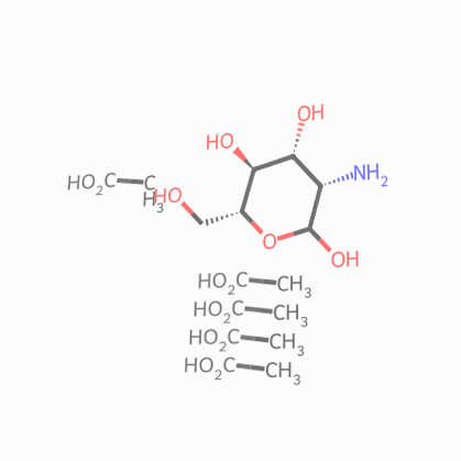 CC(=O)O.CC(=O)O.CC(=O)O.CC(=O)O.CC(=O)O.N[C@@H]1C(O)O[C@H](CO)[C@@H](O)[C@@H]1O